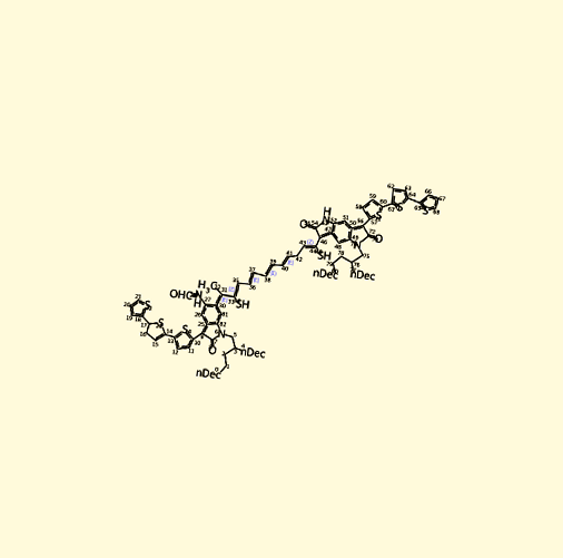 CCCCCCCCCCCCC(CCCCCCCCCC)CN1C(=O)C(c2ccc(C3=CCC(c4cccs4)S3)s2)=c2cc(NC=O)/c(=C(C)/C(S)=C/C=C/C=C/C=C/C/C=C(\S)C3=c4cc5c(cc4NC3=O)=C(c3ccc(-c4ccc(-c6cccs6)s4)s3)C(=O)N5CC(CCCCCCCCCC)CCCCCCCCCCCC)cc21